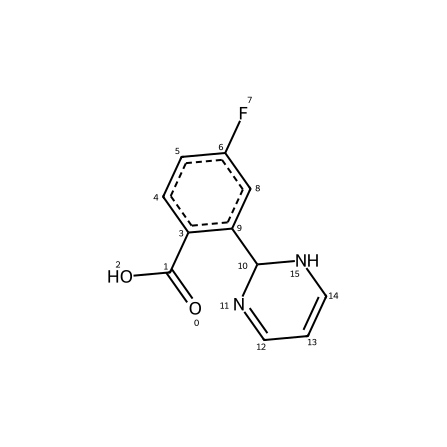 O=C(O)c1ccc(F)cc1C1N=CC=CN1